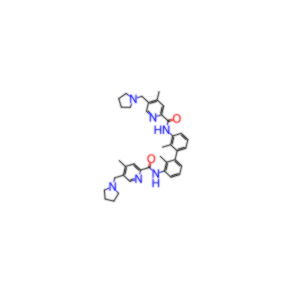 Cc1cc(C(=O)Nc2cccc(-c3cccc(NC(=O)c4cc(C)c(CN5CCCC5)cn4)c3C)c2C)ncc1CN1CCCC1